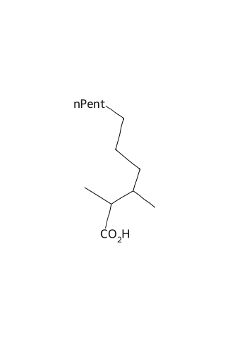 CCCCCCCCC(C)C(C)C(=O)O